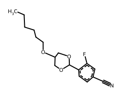 CCCCCCOC1COC(c2ccc(C#N)cc2F)OC1